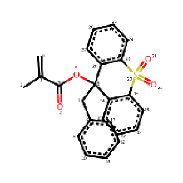 C=C(C)C(=O)OC1(Cc2ccccc2)c2ccccc2S(=O)(=O)c2ccccc21